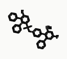 CC(C)(C)c1cc(F)cc(-c2ccccc2)c1-c1ccc(CC(C)(C)c2ccc(F)c(-c3ccccc3)c2-c2ccccc2)cc1